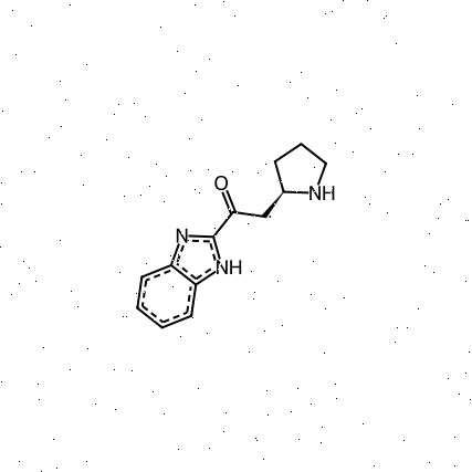 O=C([CH][C@H]1CCCN1)c1nc2ccccc2[nH]1